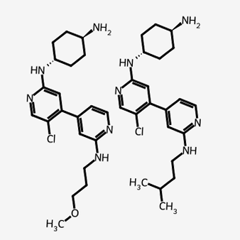 CC(C)CCNc1cc(-c2cc(N[C@H]3CC[C@H](N)CC3)ncc2Cl)ccn1.COCCCNc1cc(-c2cc(N[C@H]3CC[C@H](N)CC3)ncc2Cl)ccn1